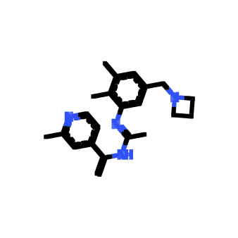 C=C(N/C(C)=N/c1cc(CN2CCC2)cc(C)c1C)c1ccnc(C)c1